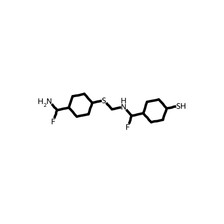 NC(F)C1CCC(SCNC(F)C2CCC(S)CC2)CC1